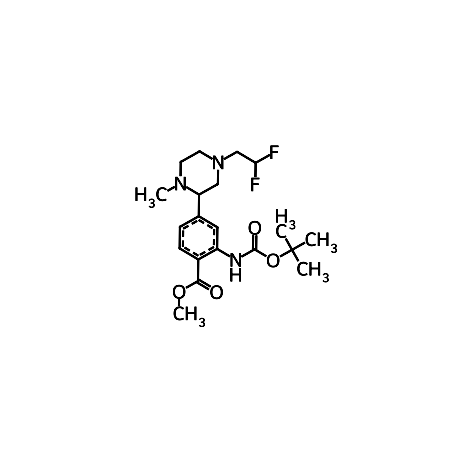 COC(=O)c1ccc(C2CN(CC(F)F)CCN2C)cc1NC(=O)OC(C)(C)C